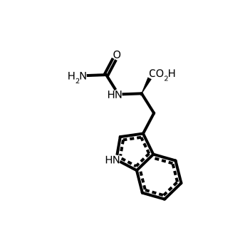 NC(=O)N[C@H](Cc1c[nH]c2ccccc12)C(=O)O